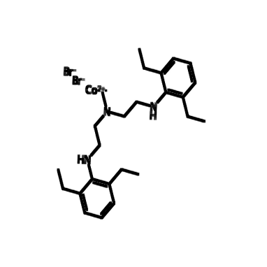 CCc1cccc(CC)c1NCCN(C)CCNc1c(CC)cccc1CC.[Br-].[Br-].[Co+2]